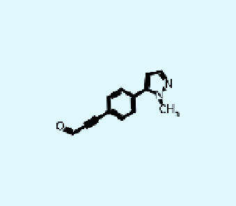 Cn1nccc1-c1ccc(C#CC=O)cc1